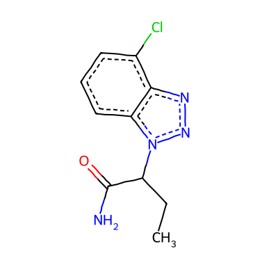 CCC(C(N)=O)n1nnc2c(Cl)cccc21